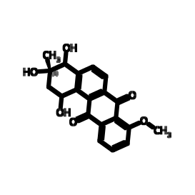 COc1cccc2c1C(=O)c1ccc3c(c1C2=O)C(O)C[C@](C)(O)C3O